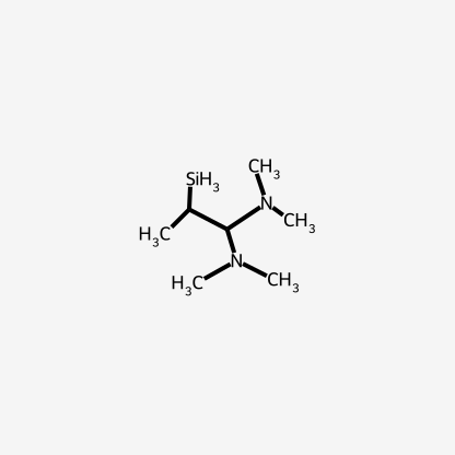 CC([SiH3])C(N(C)C)N(C)C